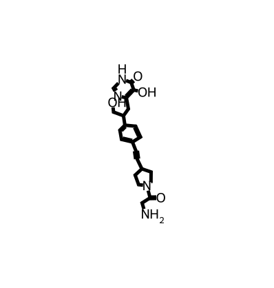 NCC(=O)N1CCC(C#Cc2ccc(C(CO)Cc3nc[nH]c(=O)c3O)cc2)CC1